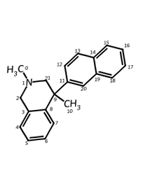 CN1Cc2ccccc2C(C)(c2ccc3ccccc3c2)C1